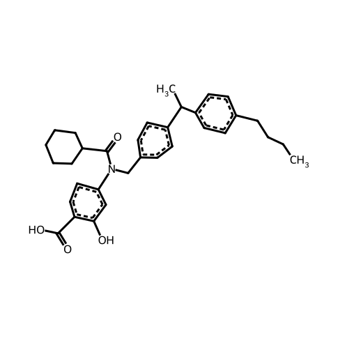 CCCCc1ccc(C(C)c2ccc(CN(C(=O)C3CCCCC3)c3ccc(C(=O)O)c(O)c3)cc2)cc1